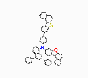 c1ccc(-c2cc(-c3ccccc3)c3cccc(N(c4ccc(-c5ccc6c(c5)sc5ccc7ccccc7c56)cc4)c4ccc5c(c4)oc4ccc6ccccc6c45)c3c2)cc1